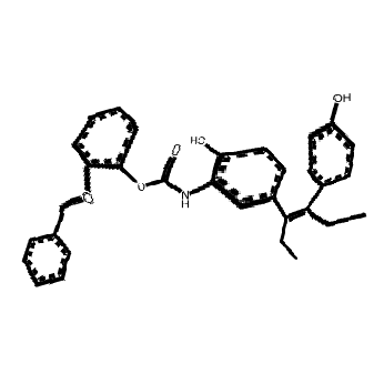 CCC(=C(CC)c1ccc(O)c(NC(=O)Oc2ccccc2OCc2ccccc2)c1)c1ccc(O)cc1